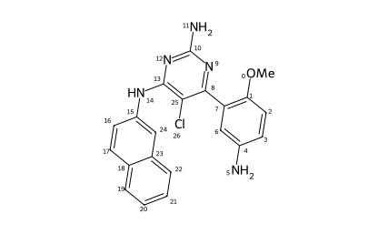 COc1ccc(N)cc1-c1nc(N)nc(Nc2ccc3ccccc3c2)c1Cl